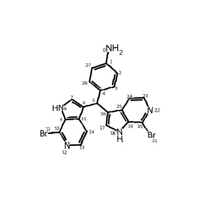 Nc1ccc(C(c2c[nH]c3c(Br)nccc23)c2c[nH]c3c(Br)nccc23)cc1